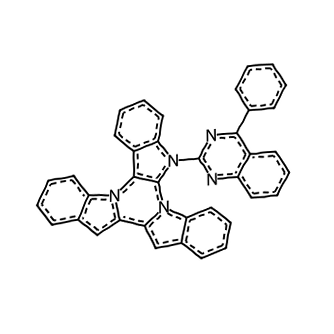 c1ccc(-c2nc(-n3c4ccccc4c4c3n3c5ccccc5cc3c3cc5ccccc5n34)nc3ccccc23)cc1